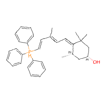 CC(C=C[PH](c1ccccc1)(c1ccccc1)c1ccccc1)=CC=C1[C@@H](C)C[C@@H](O)CC1(C)C